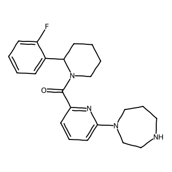 O=C(c1cccc(N2CCCNCC2)n1)N1CCCCC1c1ccccc1F